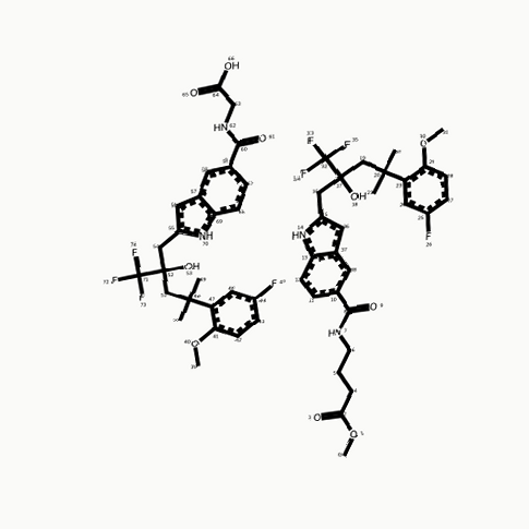 COC(=O)CCCNC(=O)c1ccc2[nH]c(CC(O)(CC(C)(C)c3cc(F)ccc3OC)C(F)(F)F)cc2c1.COc1ccc(F)cc1C(C)(C)CC(O)(Cc1cc2cc(C(=O)NCC(=O)O)ccc2[nH]1)C(F)(F)F